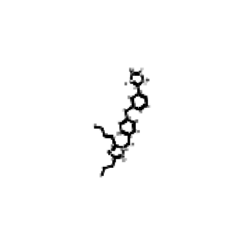 CC/C=C/c1nc(CCC)nn1Cc1ccc(Cc2cccc(-c3nnn[nH]3)c2)cc1